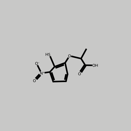 CC(Oc1cccc([N+](=O)[O-])c1S)C(=O)O